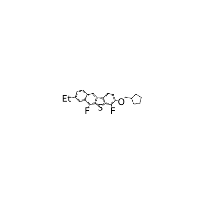 CCc1ccc2cc3c(sc4c(F)c(OCC5CCCC5)ccc43)c(F)c2c1